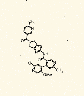 COc1cnc(Cl)cc1-c1cc(C)ncc1C(=O)Nc1nc2c(s1)CN(C(=O)c1cnc(C(F)(F)F)cn1)C2